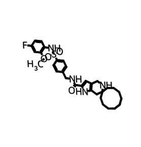 COc1cc(F)ccc1NS(=O)(=O)c1ccc(CNC(=O)c2cc3c([nH]2)CC2(CCCCCCCCC2)NC3)cc1